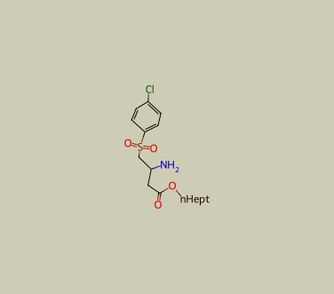 CCCCCCCOC(=O)CC(N)CS(=O)(=O)c1ccc(Cl)cc1